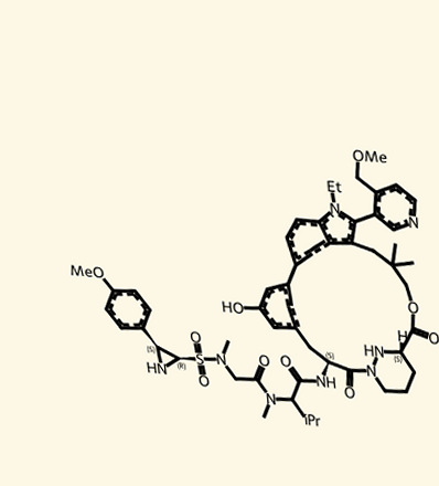 CCn1c(-c2cnccc2COC)c2c3cc(ccc31)-c1cc(O)cc(c1)C[C@H](NC(=O)C(C(C)C)N(C)C(=O)CN(C)S(=O)(=O)[C@H]1N[C@H]1c1ccc(OC)cc1)C(=O)N1CCC[C@H](N1)C(=O)OCC(C)(C)C2